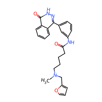 CN(CCCCC(=O)Nc1cccc(-c2n[nH]c(=O)c3ccccc23)c1)Cc1ccco1